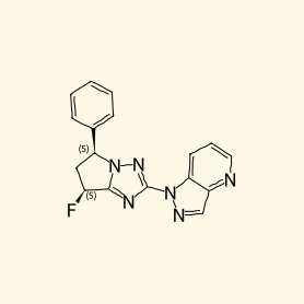 F[C@H]1C[C@@H](c2ccccc2)n2nc(-n3ncc4ncccc43)nc21